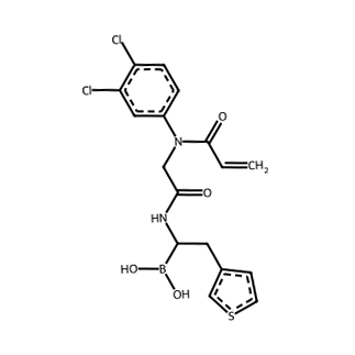 C=CC(=O)N(CC(=O)NC(Cc1ccsc1)B(O)O)c1ccc(Cl)c(Cl)c1